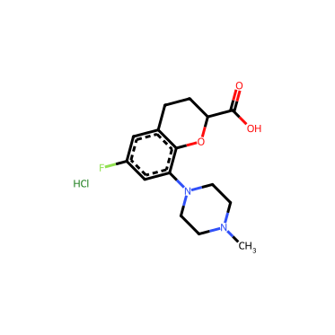 CN1CCN(c2cc(F)cc3c2OC(C(=O)O)CC3)CC1.Cl